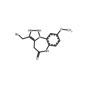 COc1ccc2c(c1)N1NNC(CBr)=C1CC(=O)N2